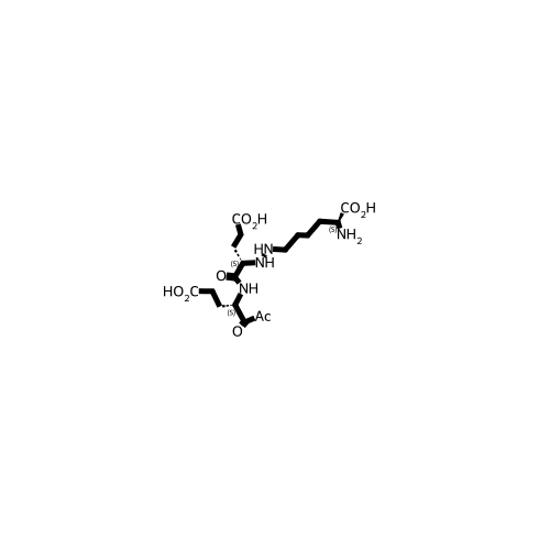 CC(=O)C(=O)[C@H](CCC(=O)O)NC(=O)[C@H](CCC(=O)O)NNCCCC[C@H](N)C(=O)O